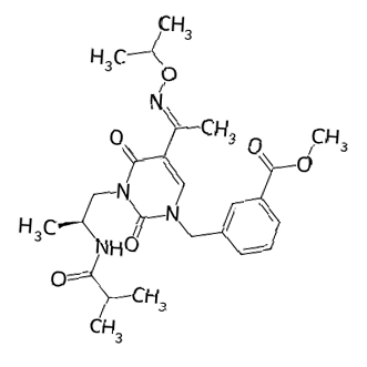 COC(=O)c1cccc(Cn2cc(/C(C)=N/OC(C)C)c(=O)n(C[C@H](C)NC(=O)C(C)C)c2=O)c1